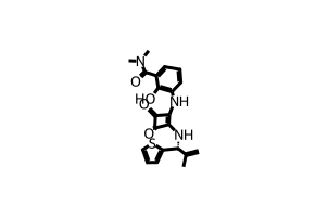 C=C(C)[C@@H](Nc1c(Nc2cccc(C(=O)N(C)C)c2O)c(=O)c1=O)c1cccs1